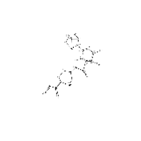 O=CC(=O)C1CCC(N2Cc3c(N4C5CNCC4C5)cc(F)c(F)c3C2=O)CN1